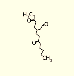 CCCCCC(=O)CCC(CC=O)CCC(=O)CC